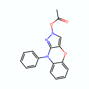 CC(=O)On1cc2c(n1)N(c1ccccc1)c1ccccc1O2